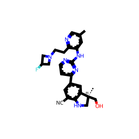 Cc1cnc(CCN2CC(F)C2)c(Nc2nccc(-c3cc(C#N)c4c(c3)[C@@](C)(CO)CN4)n2)c1